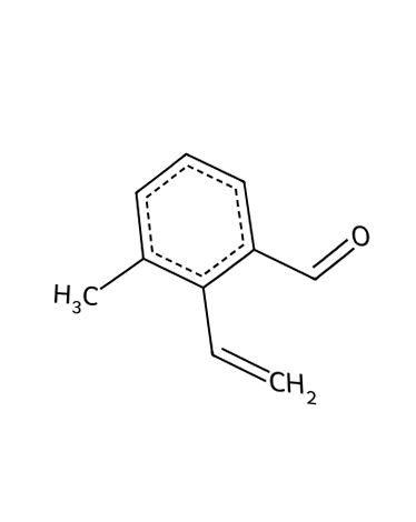 C=Cc1c(C)cccc1C=O